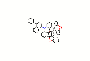 c1ccc(-c2ccc(N(c3cccc4c3-c3ccccc3C43c4ccccc4Oc4ccccc43)c3cccc4c3ccc3c5ccccc5oc43)c3ccccc23)cc1